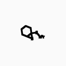 CCCSC12CCCCC1S2